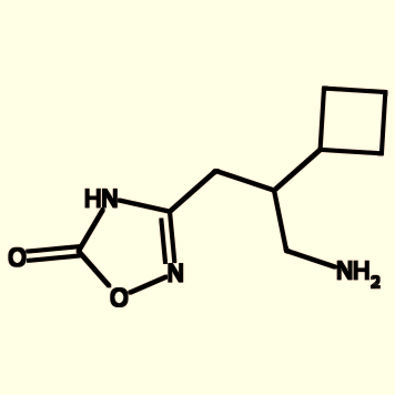 NCC(Cc1noc(=O)[nH]1)C1CCC1